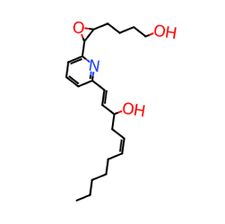 CCCCC/C=C\CC(O)/C=C/c1cccc(C2OC2CCCCO)n1